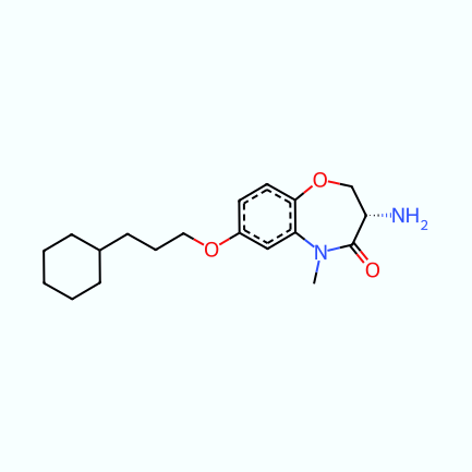 CN1C(=O)[C@@H](N)COc2ccc(OCCCC3CCCCC3)cc21